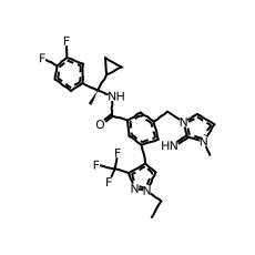 CCn1cc(-c2cc(Cn3ccn(C)c3=N)cc(C(=O)N[C@](C)(c3ccc(F)c(F)c3)C3CC3)c2)c(C(F)(F)F)n1